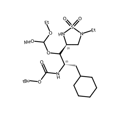 CCOC(OC)OC([C@H](CC1CCCCC1)NC(=O)OC(C)(C)C)[C@@H]1CN(CC)S(=O)(=O)N1